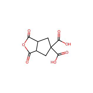 O=C1OC(=O)C2CC(C(=O)O)(C(=O)O)CC12